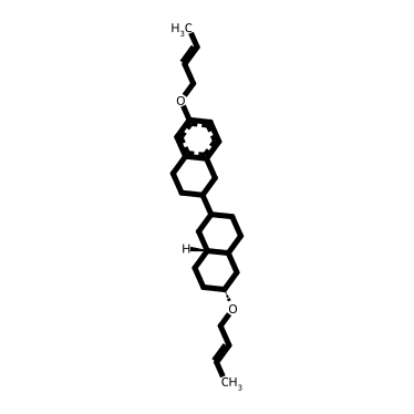 C/C=C/COc1ccc2c(c1)CCC(C1CCC3C[C@H](OC/C=C/C)CC[C@@H]3C1)C2